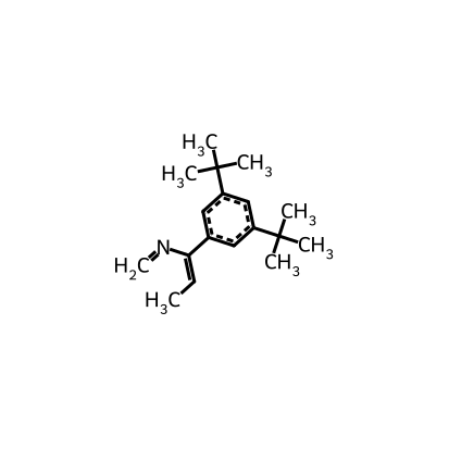 C=N/C(=C\C)c1cc(C(C)(C)C)cc(C(C)(C)C)c1